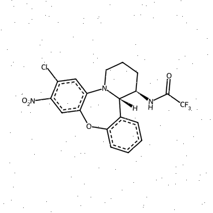 O=C(N[C@@H]1CCCN2c3cc(Cl)c([N+](=O)[O-])cc3Oc3ccccc3[C@@H]12)C(F)(F)F